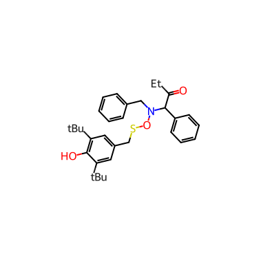 CCC(=O)C(c1ccccc1)N(Cc1ccccc1)OSCc1cc(C(C)(C)C)c(O)c(C(C)(C)C)c1